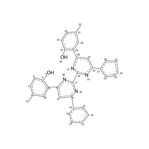 Cc1ccc(O)c(-c2cc(-c3ccccc3)nc(-c3nc(-c4ccccc4)cc(-c4cc(C)ccc4O)n3)n2)c1